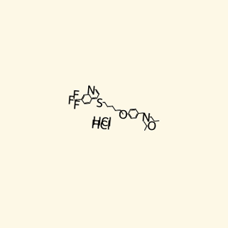 CC1CN(Cc2ccc(OCCCCCSc3ccnc4cc(C(F)(F)F)ccc34)cc2)CC(C)O1.Cl.Cl